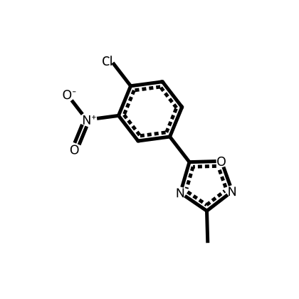 Cc1noc(-c2ccc(Cl)c([N+](=O)[O-])c2)n1